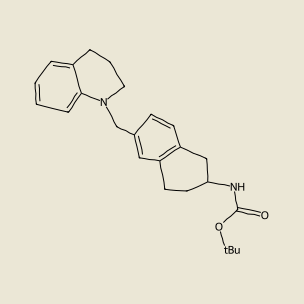 CC(C)(C)OC(=O)NC1CCc2cc(CN3CCCc4ccccc43)ccc2C1